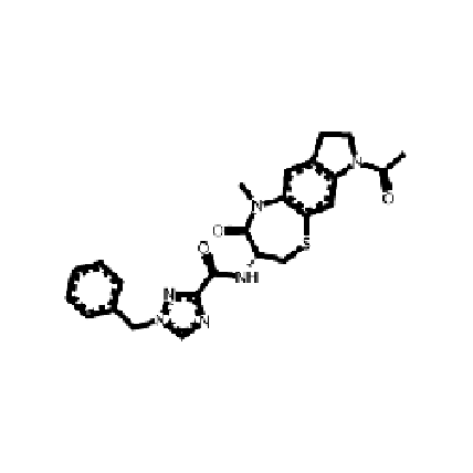 CC(=O)N1CCc2cc3c(cc21)SC[C@H](NC(=O)c1ncn(Cc2ccccc2)n1)C(=O)N3C